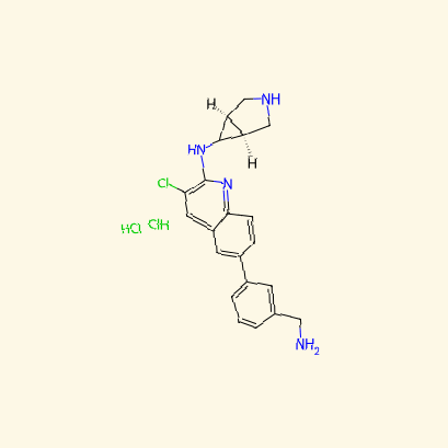 Cl.Cl.NCc1cccc(-c2ccc3nc(NC4[C@H]5CNC[C@@H]45)c(Cl)cc3c2)c1